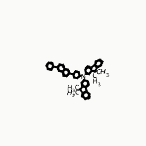 CC1(C)c2ccccc2-c2ccc(N(c3ccc(-c4ccc5cc(-c6ccccc6)ccc5c4)cc3)c3ccc4c(c3)C(C)(C)c3ccccc3-4)cc21